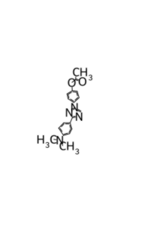 CC(=O)Oc1ccc(-n2cnc(-c3ccc(N(C)C)cc3)n2)cc1